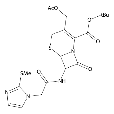 CSc1nccn1CC(=O)NC1C(=O)N2C(C(=O)OC(C)(C)C)=C(COC(C)=O)CSC12